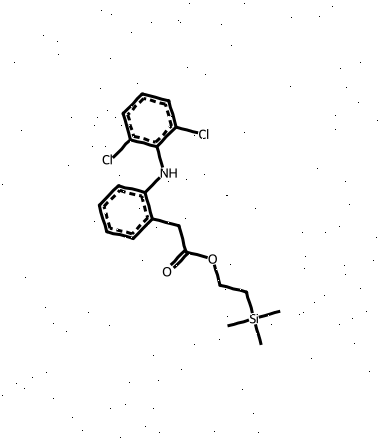 C[Si](C)(C)CCOC(=O)Cc1ccccc1Nc1c(Cl)cccc1Cl